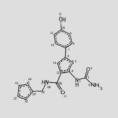 NC(=O)Nc1sc(-c2ccc(O)cc2)cc1C(=O)NCc1cccs1